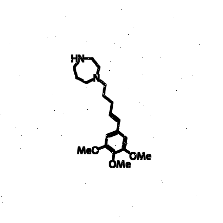 COc1cc(C=CCCCN2CCCNCC2)cc(OC)c1OC